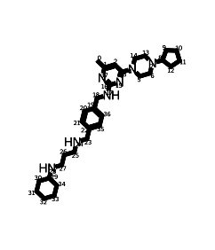 Cc1cc(N2CCN(C3CCCC3)CC2)nc(NCc2ccc(CNCCCNC3CCCCC3)cc2)n1